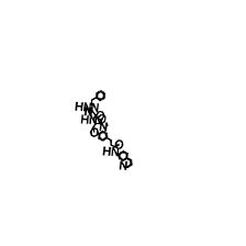 CN1C(=O)[C@@H](NC(=O)c2n[nH]c(Cc3ccccc3)n2)COc2ccc(CCC(=O)Nc3ccc4cccnc4c3)cc21